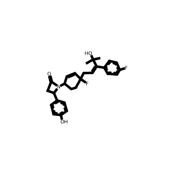 CC(C)(O)/C(=C\CC1(F)C=CC(N2C(=O)CC2c2ccc(O)cc2)CC1)c1ccc(F)cc1